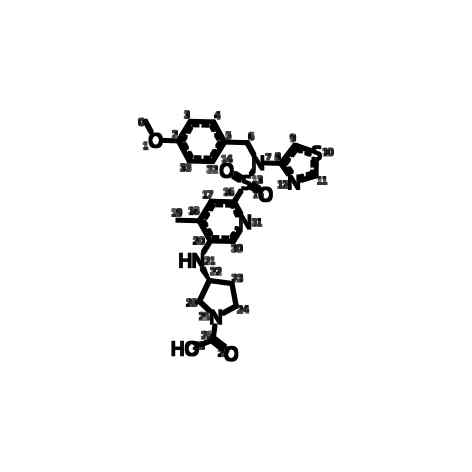 COc1ccc(CN(c2cscn2)S(=O)(=O)c2cc(C)c(N[C@H]3CCN(C(=O)O)C3)cn2)cc1